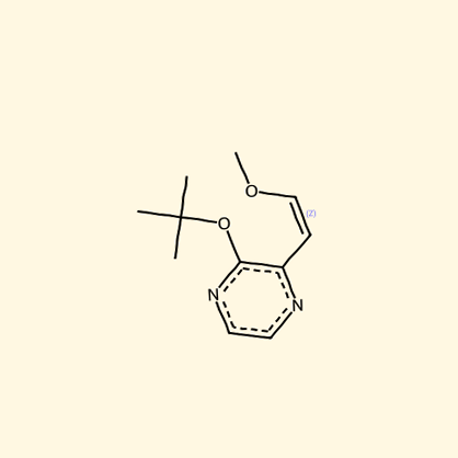 CO/C=C\c1nccnc1OC(C)(C)C